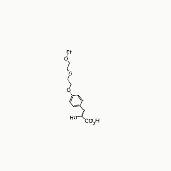 CCOCCOCCOc1ccc(CC(O)C(=O)O)cc1